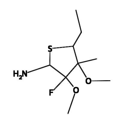 CCC1SC(N)C(F)(OC)C1(C)OC